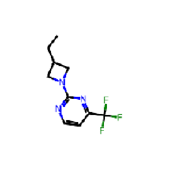 CCC1CN(c2nccc(C(F)(F)F)n2)C1